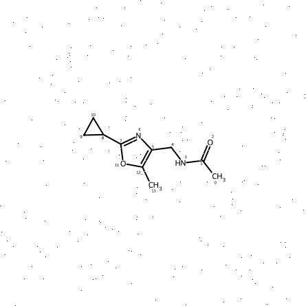 CC(=O)NCc1nc(C2CC2)oc1C